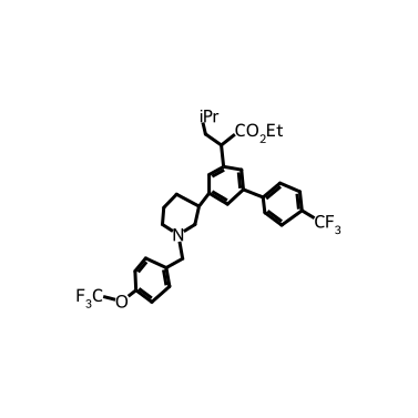 CCOC(=O)C(CC(C)C)c1cc(-c2ccc(C(F)(F)F)cc2)cc(C2CCCN(Cc3ccc(OC(F)(F)F)cc3)C2)c1